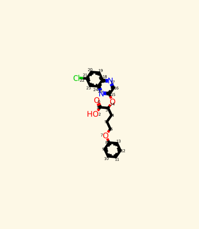 O=C(O)C(CCCOc1ccccc1)Oc1cnc2ccc(Cl)cc2n1